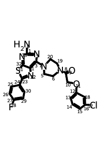 Nc1nc(N2CCN(C(=O)COc3cccc(Cl)c3)CC2)c2nc(-c3ccc(F)cc3)sc2n1